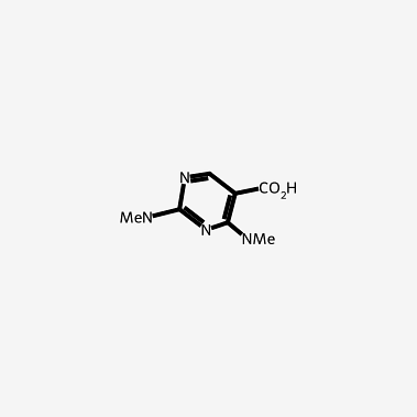 CNc1ncc(C(=O)O)c(NC)n1